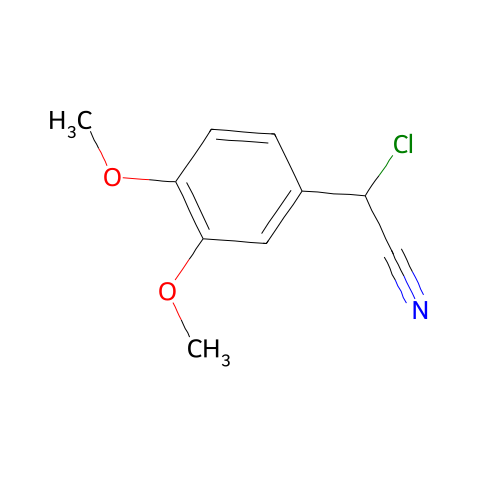 COc1ccc(C(Cl)C#N)cc1OC